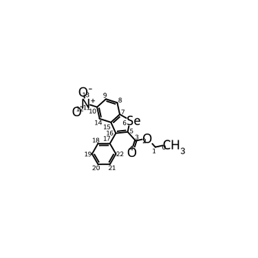 CCOC(=O)c1[se]c2ccc([N+](=O)[O-])cc2c1-c1ccccc1